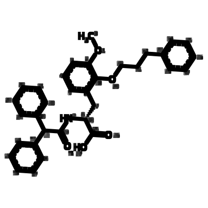 COc1cccc(C[C@@H](NC(=O)C(c2ccccc2)c2ccccc2)C(=O)O)c1OCCCc1ccccc1